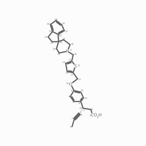 CC#C[C@@H](CC(=O)O)c1ccc(OCc2ccc(CN3CCC4(CCc5ccccc54)CC3)s2)cc1